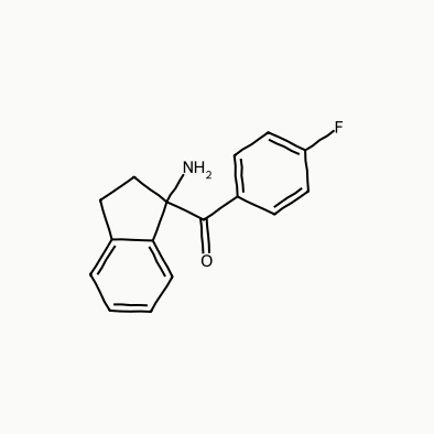 NC1(C(=O)c2ccc(F)cc2)CCc2ccccc21